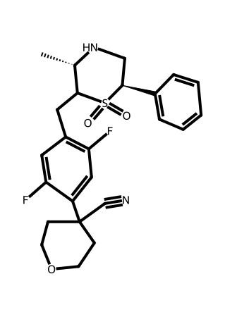 C[C@@H]1NC[C@@H](c2ccccc2)S(=O)(=O)C1Cc1cc(F)c(C2(C#N)CCOCC2)cc1F